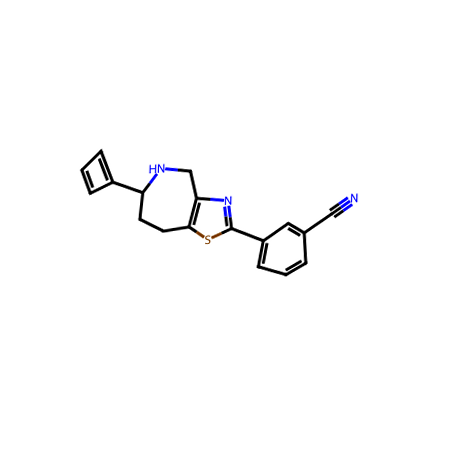 N#Cc1cccc(-c2nc3c(s2)CCC(C2=CC=C2)NC3)c1